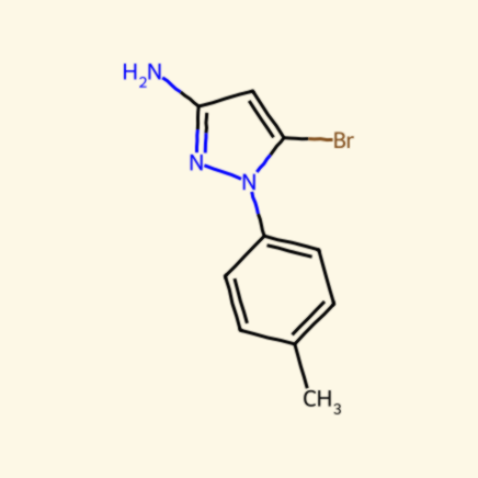 Cc1ccc(-n2nc(N)cc2Br)cc1